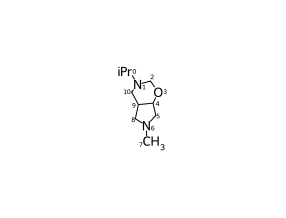 CC(C)N1COC2CN(C)CC2C1